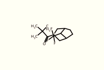 CC(C)(C)C(=O)N1CC2CCC(C1)C2C(F)(F)F